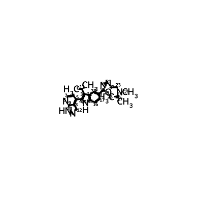 CC(C)c1c(-c2ccnc3[nH]ncc23)[nH]c2ccc(-c3nnc(CN(C)C(C)C)o3)cc12